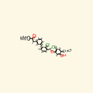 COC(=O)Cc1cccc(-c2cccc(COc3cc(O)c(C=O)cc3Cl)c2Cl)c1